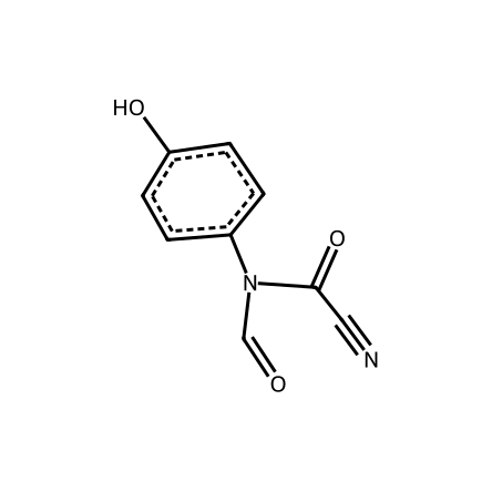 N#CC(=O)N(C=O)c1ccc(O)cc1